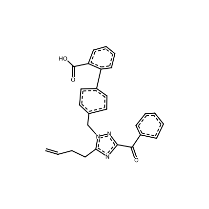 C=CCCc1nc(C(=O)c2ccccc2)nn1Cc1ccc(-c2ccccc2C(=O)O)cc1